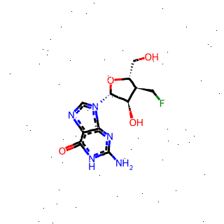 Nc1nc2c(ncn2[C@@H]2O[C@H](CO)[C@@H](CF)[C@H]2O)c(=O)[nH]1